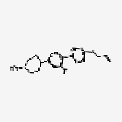 C=CCCc1ccc(-c2ccc(C3CCC(CCC)CC3)cc2F)cc1